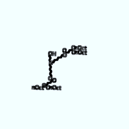 CCCCCCCCOC(CCC(=O)OCCCCCCN(CCCO)CCCCCCOC(=O)CCC(OCCCCCCCC)OCCCCCCCC)OCCCCCCCC